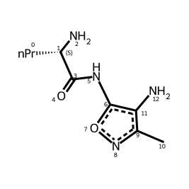 CCC[C@H](N)C(=O)Nc1onc(C)c1N